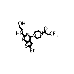 CCc1cc2c(N3CCN(C(=O)CC(F)(F)F)CC3)nc(NCCO)nc2s1